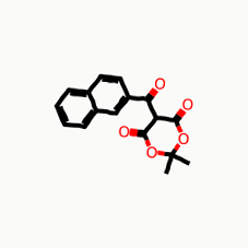 CC1(C)OC(=O)C(C(=O)c2ccc3ccccc3c2)C(=O)O1